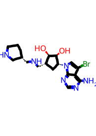 Nc1ncnc2c1c(Br)cn2[C@@H]1C[C@H](CNC[C@H]2CCCNC2)[C@@H](O)[C@H]1O